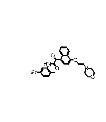 Cc1ccc(C(C)C)cc1NC(=O)C(=O)c1ccc(OCCN2CCOCC2)c2ccccc12